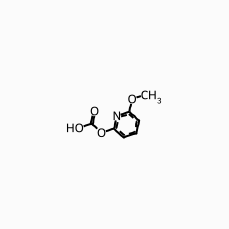 COc1cccc(OC(=O)O)n1